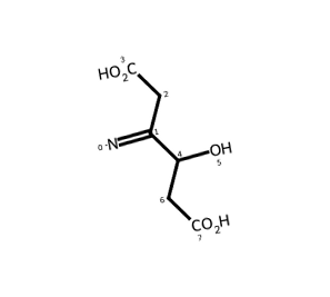 [N]=C(CC(=O)O)C(O)CC(=O)O